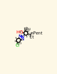 [CH2]CC(CCCCC)c1cc(-n2nc3ccc(Cl)cc3n2)c(O)c(C(C)(C)C)c1